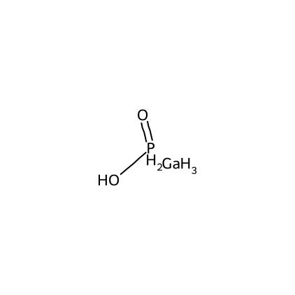 O=[PH2]O.[GaH3]